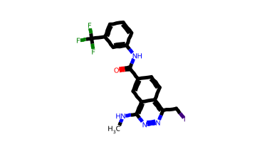 CNc1nnc(CI)c2ccc(C(=O)Nc3cccc(C(F)(F)F)c3)cc12